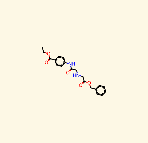 CCOC(=O)c1ccc(NC(=O)CNCC(=O)OCc2ccccc2)cc1